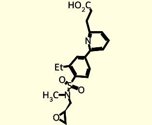 CCc1cc(-c2cccc(CCC(=O)O)n2)ccc1S(=O)(=O)N(C)C[C@H]1CO1